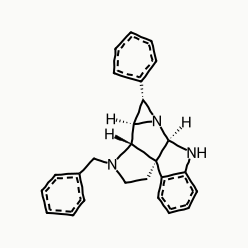 c1ccc(CN2CC[C@@]34c5ccccc5N[C@@H]3N3[C@H]([C@@H]3c3ccccc3)[C@@H]24)cc1